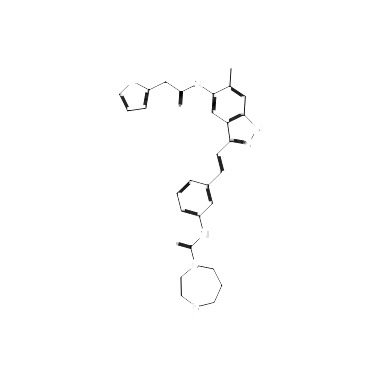 Cc1cc2[nH]nc(/C=C/c3cccc(NC(=O)N4CCCNCC4)c3)c2cc1NC(=O)Cc1cccs1